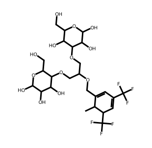 CC1C(COC(COC2C(CO)OC(O)C(O)C2O)COC2C(O)C(O)OC(CO)C2O)=CC(C(F)(F)F)=CC1C(F)(F)F